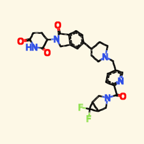 O=C1CCC(N2Cc3cc(C4CCN(Cc5ccc(C(=O)N6CC7C(C6)C7(F)F)nc5)CC4)ccc3C2=O)C(=O)N1